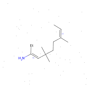 C/C=C(/C)CCC(C)(C)/C=C(/N)CC